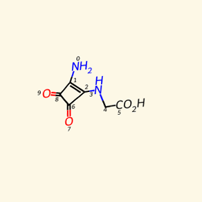 Nc1c(NCC(=O)O)c(=O)c1=O